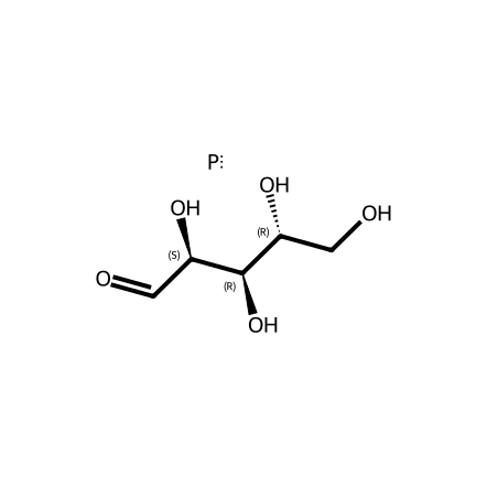 O=C[C@@H](O)[C@H](O)[C@H](O)CO.[P]